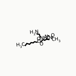 CCCCCCCCOC(=O)C(Cc1cn(C(C)=O)cn1)NC(=O)CCN